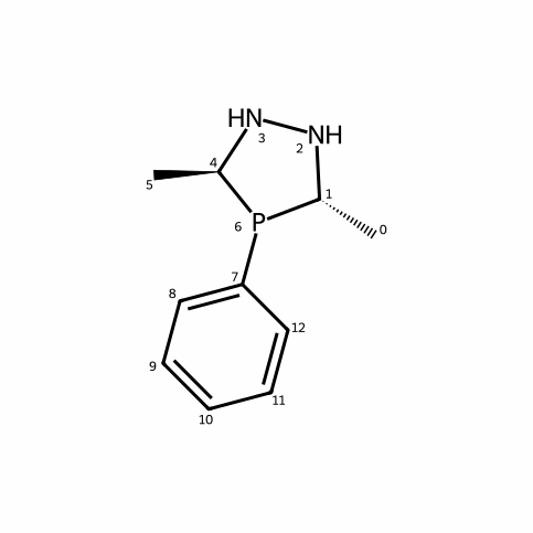 C[C@H]1NN[C@H](C)P1c1ccccc1